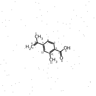 C=C(C)c1ccc(C(=O)O)c(C)c1